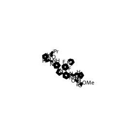 COC(=O)N[C@H](C(=O)N1C(c2nc3cc([C@H]4CC[C@H](c5ccc6[nH]c([C@@H]7C[C@@H]8CCC[C@@H]8N7C(=O)[CH]C(C)C)nc6c5)N4c4cc(F)c(N5CCCCC5)c(F)c4)ccc3[nH]2)C[C@@H]2CCC[C@@H]21)C(C)C